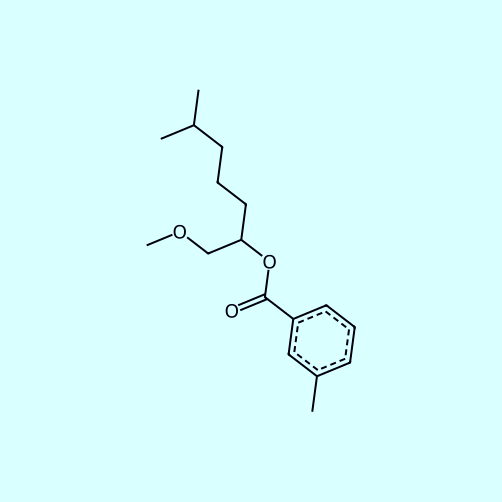 COCC(CCCC(C)C)OC(=O)c1cccc(C)c1